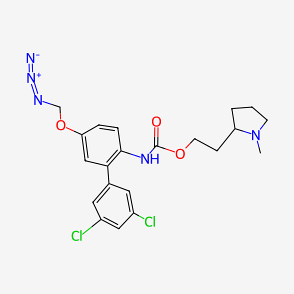 CN1CCCC1CCOC(=O)Nc1ccc(OCN=[N+]=[N-])cc1-c1cc(Cl)cc(Cl)c1